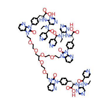 CCN(C(=O)c1ccncc1)c1cncnc1N[C@@H](Cc1ccc(-n2c(=O)n(CCOCCOCC(COCCOCCn3c(=O)n(-c4ccc(C[C@H](Nc5ncncc5N(CC)C(=O)c5ccncc5)C(=O)O)cc4)c4ncccc43)OCCOCCn3c(=O)n(-c4ccc(C[C@H](Nc5ncncc5N(CC)C(=O)c5ccncc5)C(=O)O)cc4)c4ncccc43)c3cccnc32)cc1)C(=O)O